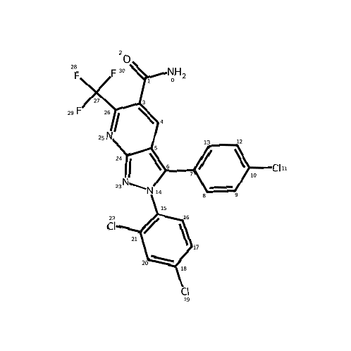 NC(=O)c1cc2c(-c3ccc(Cl)cc3)n(-c3ccc(Cl)cc3Cl)nc2nc1C(F)(F)F